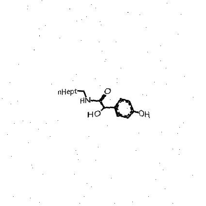 CCCCCCCCNC(=O)C(O)c1ccc(O)cc1